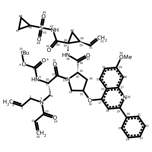 C=CCN(C[C@H](NC(=O)OC(C)(C)C)C(=O)N1CC(Oc2cc(-c3ccccc3)nc3cc(OC)ccc23)C[C@H]1C(=O)N[C@]1(C(=O)NS(=O)(=O)C2CC2)C[C@H]1C=C)C(=O)C=C